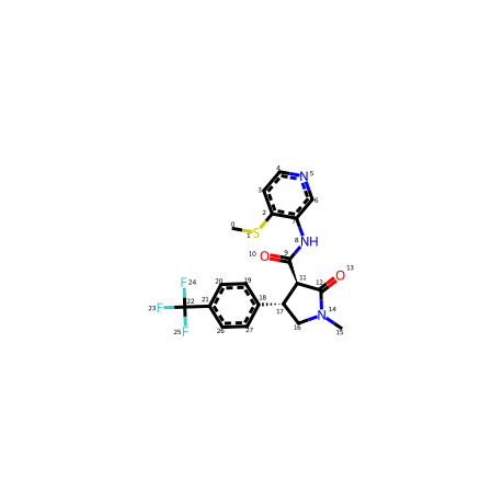 CSc1ccncc1NC(=O)[C@H]1C(=O)N(C)C[C@@H]1c1ccc(C(F)(F)F)cc1